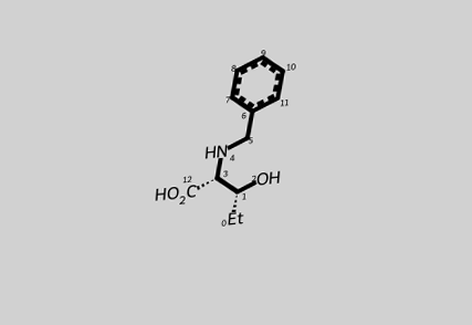 CC[C@@H](O)[C@@H](NCc1ccccc1)C(=O)O